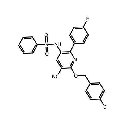 N#Cc1cc(NS(=O)(=O)c2ccccc2)c(-c2ccc(F)cc2)nc1OCc1ccc(Cl)cc1